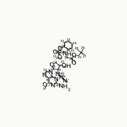 COc1nc(N)nc2c1ncn2[C@@H]1O[C@H](COP(=O)(N[C@@H](C)C(=O)OCC(C)(C)C)Oc2ccccc2)C(O)[C@@]1(C)N=[N+]=[N-]